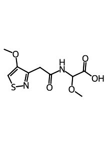 COc1csnc1CC(=O)NC(OC)C(=O)O